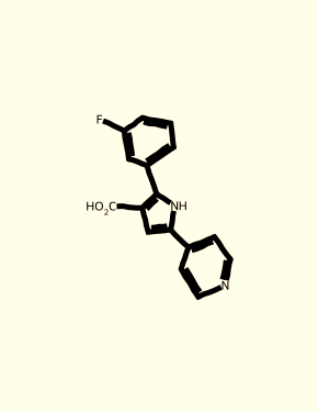 O=C(O)c1cc(-c2ccncc2)[nH]c1-c1cccc(F)c1